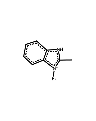 CC[n+]1c(C)[nH]c2ccccc21